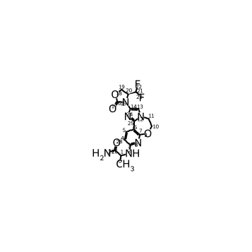 CC(Nc1ccc2c(n1)OCCn1cc(N3C(=O)OC[C@H]3C(F)F)nc1-2)C(N)=O